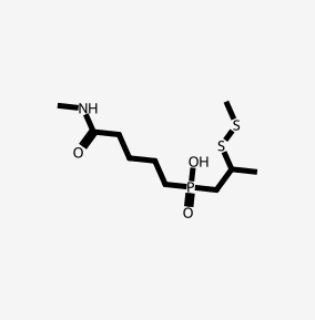 CNC(=O)CCCCP(=O)(O)CC(C)SSC